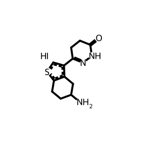 I.NC1CCc2scc(C3=NNC(=O)CC3)c2C1